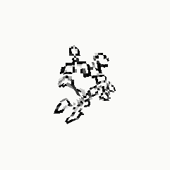 c1ccc(-n2c3ccccc3c3cc4c5cc([Si]6(c7ccc8c(c7)c7cc9c%10ccccc%10n(-c%10ccccc%10)c9cc7n8-c7ccccc7)c7ccccc7-c7ccccc76)ccc5n(-c5ccccc5)c4cc32)cc1